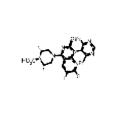 CC(C)c1ncnc(C(C)C)c1-n1c(=O)nc(N2C[C@@H](C)N(C(=O)O)[C@@H](C)C2)c2cc(F)c(Cl)nc21